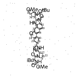 CCC(C)C(NC(=O)OC)C(=O)N1C[C@@H](C)CC1c1ncc(-c2ccc3c(c2)COc2cc4c(ccc5nc([C@@H]6C[C@H](COC)CN6C(=O)OC(C)(C)C)[nH]c54)cc2-3)[nH]1